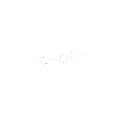 Cc1c(F)cc(OCc2ccc(C3CCC(C)CC3)cc2)cc1F